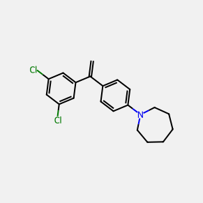 C=C(c1ccc(N2CCCCCC2)cc1)c1cc(Cl)cc(Cl)c1